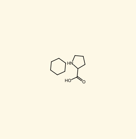 C1CCCCC1.O=C(O)C1CCCN1